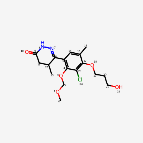 COCOc1c(C2=NNC(=O)CC2C)cc(C)c(OCCCO)c1Cl